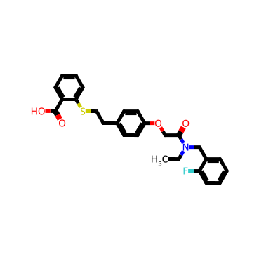 CCN(Cc1ccccc1F)C(=O)COc1ccc(CCSc2ccccc2C(=O)O)cc1